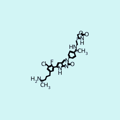 C[C@H](N)CCCc1cc(Cl)c(F)c(-c2cc3cn(-c4ccc([C@H](C)NCC[C@@H]5COC(=O)N5)cc4)c(=O)nc3[nH]2)c1